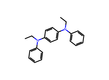 CCN(c1ccccc1)c1ccc(N(CC)c2ccccc2)cc1